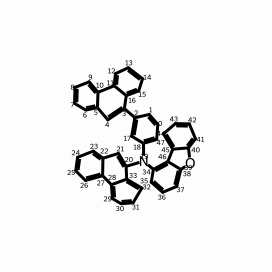 c1cc(-c2cc3ccccc3c3ccccc23)cc(N(c2cc3ccccc3c3ccccc23)c2cccc3oc4ccccc4c23)c1